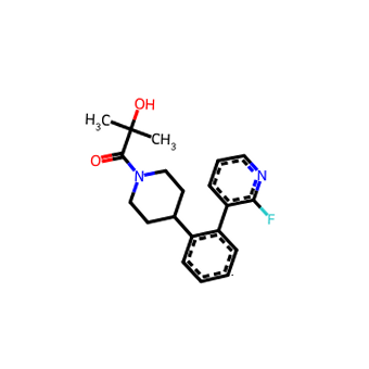 CC(C)(O)C(=O)N1CCC(c2cc[c]cc2-c2cccnc2F)CC1